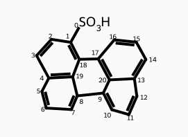 O=S(=O)(O)c1ccc2cccc3c4cccc5cccc(c1c23)c54